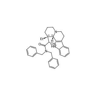 CC[C@@]1(C(C)C(=O)N(Cc2ccccc2)Cc2ccccc2)CCCN2CCc3c([nH]c4ccccc34)[C@@H]21